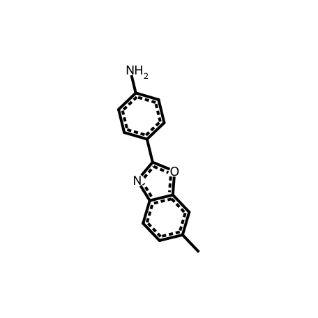 Cc1ccc2nc(-c3ccc(N)cc3)oc2c1